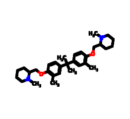 Cc1cc(C(C)(C)c2ccc(OCC3CCCCN3C)c(C)c2)ccc1OCC1CCCCN1C